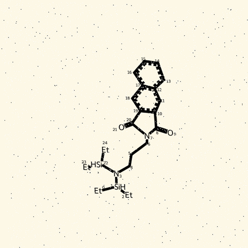 CC[SiH](CC)N(CCCN1C(=O)c2cc3ccccc3cc2C1=O)[SiH](CC)CC